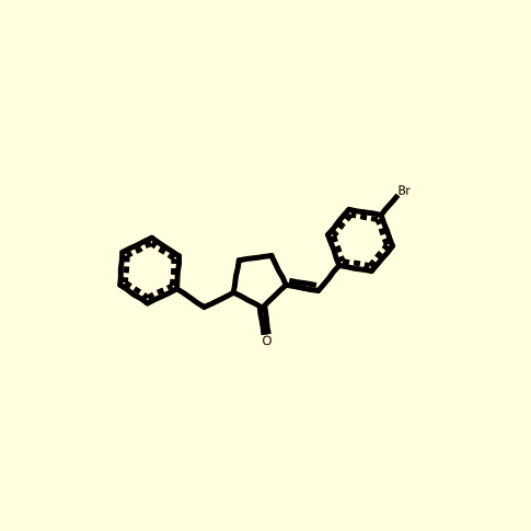 O=C1C(=Cc2ccc(Br)cc2)CCC1Cc1ccccc1